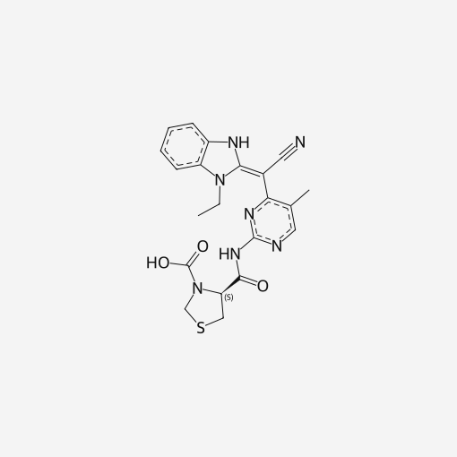 CCN1C(=C(C#N)c2nc(NC(=O)[C@H]3CSCN3C(=O)O)ncc2C)Nc2ccccc21